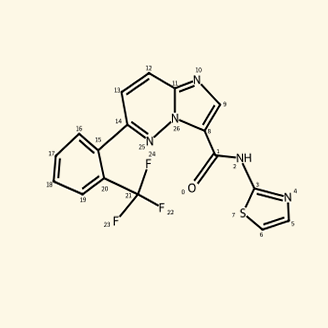 O=C(Nc1nccs1)c1cnc2ccc(-c3ccccc3C(F)(F)F)nn12